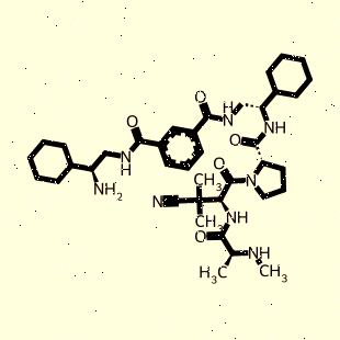 CN[C@@H](C)C(=O)N[C@H](C(=O)N1CCC[C@H]1C(=O)N[C@H](CNC(=O)c1cccc(C(=O)NC[C@@H](N)C2CCCCC2)c1)C1CCCCC1)C(C)(C)C#N